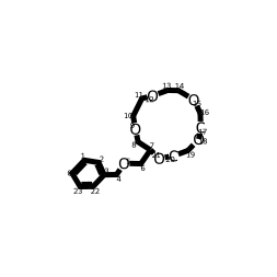 c1ccc(COCC2COCCOCCOCCOCCO2)cc1